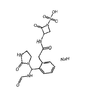 O=CNC(c1ccccc1CC(=O)NC1CN(S(=O)(=O)O)C1=O)N1CCNC1=O.[NaH]